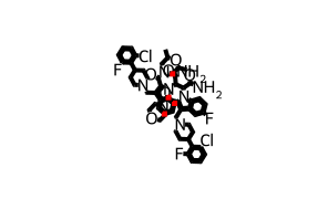 CC1CN(C(=O)c2c(CN3CCC(c4c(F)cccc4Cl)CC3)c3ccccc3n2C(C(N)=O)C(C(N)=O)n2c(C(=O)N3CCOCC3)c(CN3CCC(c4c(F)cccc4Cl)CC3)c3cc(F)ccc32)CC(C)O1